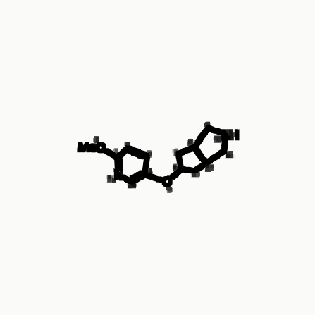 COc1ccc(OC2CC3CNCC3C2)cn1